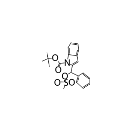 CC(C)(C)OC(=O)n1c(C(OS(C)(=O)=O)c2ccccc2)cc2ccccc21